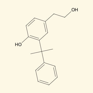 CC(C)(c1ccccc1)c1cc(CCO)ccc1O